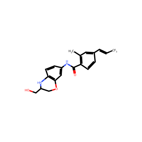 Cc1cc(C=CC(F)(F)F)ccc1C(=O)Nc1ccc2c(c1)OCC(CO)N2